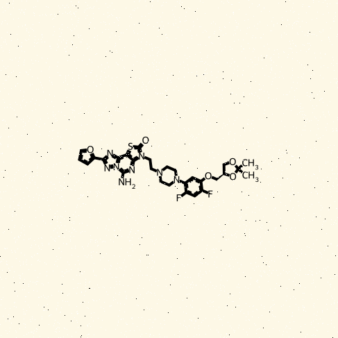 CC1(C)OC[C@H](COc2cc(N3CCN(CCn4c(=O)sc5c4nc(N)n4nc(-c6ccco6)nc54)CC3)c(F)cc2F)O1